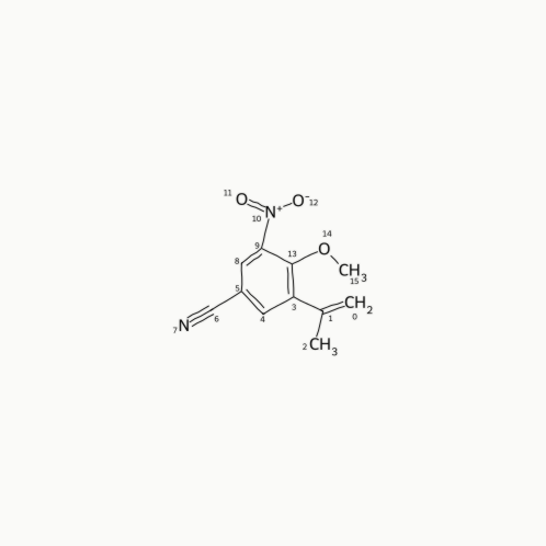 C=C(C)c1cc(C#N)cc([N+](=O)[O-])c1OC